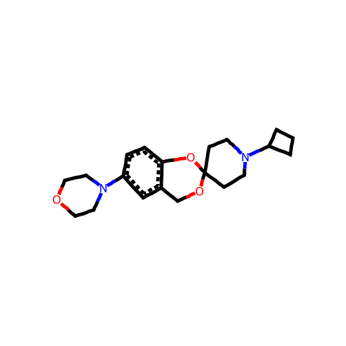 c1cc2c(cc1N1CCOCC1)COC1(CCN(C3CCC3)CC1)O2